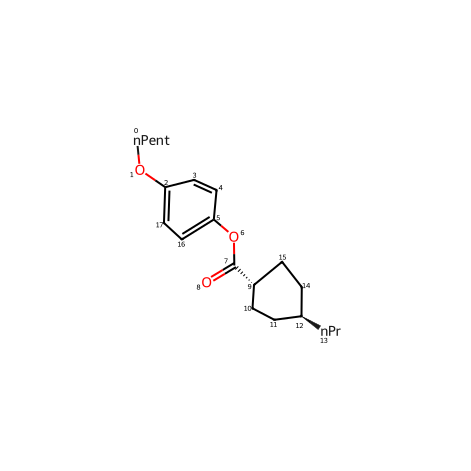 CCCCCOc1ccc(OC(=O)[C@H]2CC[C@H](CCC)CC2)cc1